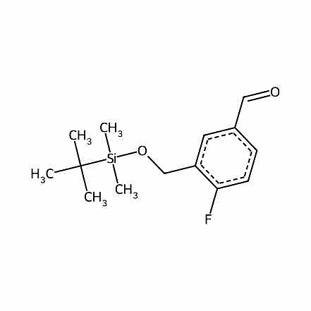 CC(C)(C)[Si](C)(C)OCc1cc(C=O)ccc1F